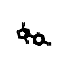 CCc1ccc(N2C[C@@H]3C[C@H]2CO3)nc1